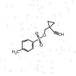 C#CC1(COS(=O)(=O)c2ccc(C)cc2)CC1